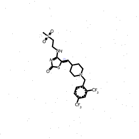 CS(=O)(=O)CCNC1=NC(=O)S/C1=C\C1CCN(Cc2ccc(C(F)(F)F)cc2C(F)(F)F)CC1